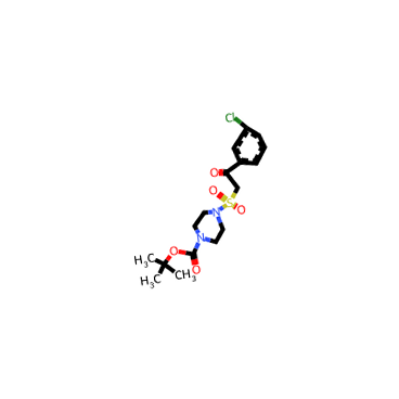 CC(C)(C)OC(=O)N1CCN(S(=O)(=O)CC(=O)c2cccc(Cl)c2)CC1